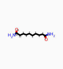 NC(=O)CCCCCCCCC(N)=O